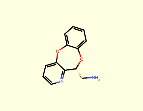 NC[C@H]1Oc2ccccc2Oc2cccnc21